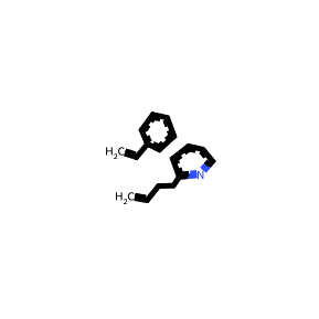 C=CCCc1ccccn1.C=Cc1ccccc1